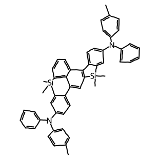 Cc1ccc(N(c2ccccc2)c2ccc3c(c2)[Si](C)(C)c2cc4c5c(cccc5c2-3)[Si](C)(C)c2cc(N(c3ccccc3)c3ccc(C)cc3)ccc2-4)cc1